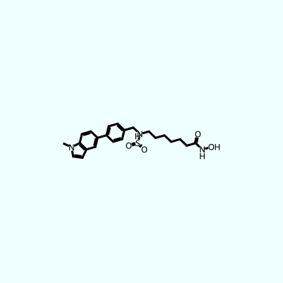 Cn1ccc2cc(-c3ccc(CN(CCCCCCC(=O)NO)[SH](=O)=O)cc3)ccc21